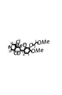 COCCOc1c(OC)ccc(C(=O)Cc2c(Cl)cncc2Cl)c1OC